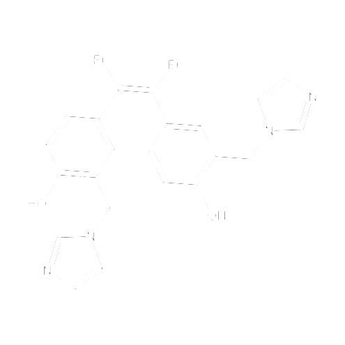 CCC(=C(CC)c1ccc(O)c(Cn2ccnc2)c1)c1ccc(O)c(Cn2ccnc2)c1